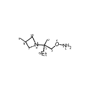 CCC(C)(CON)N1CC(C)C1